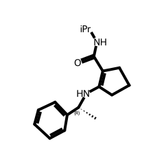 CC(C)NC(=O)C1=C(N[C@H](C)c2ccccc2)CCC1